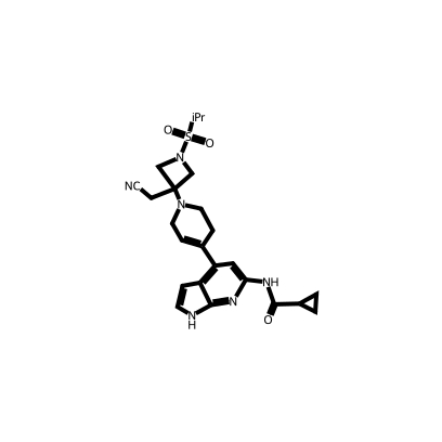 CC(C)S(=O)(=O)N1CC(CC#N)(N2CC=C(c3cc(NC(=O)C4CC4)nc4[nH]ccc34)CC2)C1